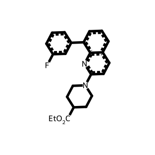 CCOC(=O)C1CCN(c2ccc3cccc(-c4cccc(F)c4)c3n2)CC1